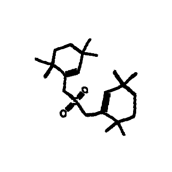 CC1(C)C=C(CS(=O)(=O)CC2=CC(C)(C)CCC2(C)C)C(C)(C)CC1